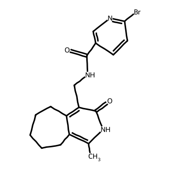 Cc1[nH]c(=O)c(CNC(=O)c2ccc(Br)nc2)c2c1CCCCC2